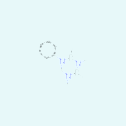 CB1N(C)CN(c2ccccc2)B(C)N1C